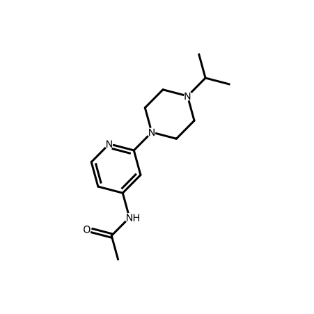 CC(=O)Nc1ccnc(N2CCN(C(C)C)CC2)c1